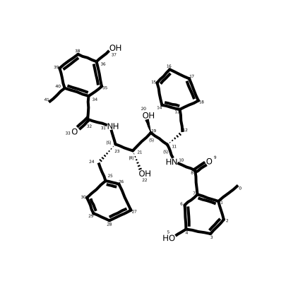 Cc1ccc(O)cc1C(=O)N[C@@H](Cc1ccccc1)[C@H](O)[C@H](O)[C@H](Cc1ccccc1)NC(=O)c1cc(O)ccc1C